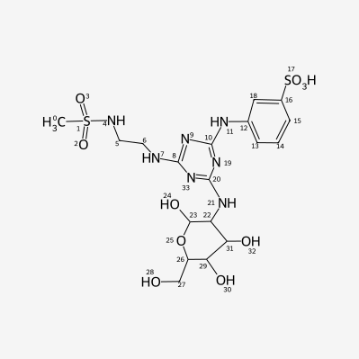 CS(=O)(=O)NCCNc1nc(Nc2cccc(S(=O)(=O)O)c2)nc(NC2C(O)OC(CO)C(O)C2O)n1